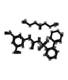 COc1cc(OC)nc(NC(=O)NS(=O)(=O)c2ncccc2C2=NOCCO2)n1.OCCNCCO